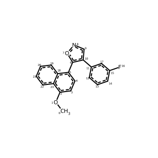 COc1ccc(-c2oncc2-c2cccc(F)c2)c2ccccc12